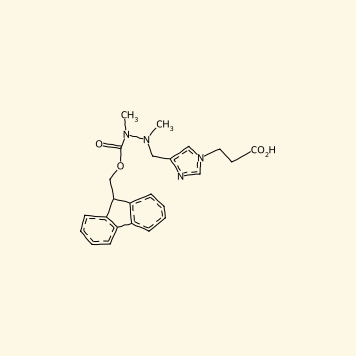 CN(Cc1cn(CCC(=O)O)cn1)N(C)C(=O)OCC1c2ccccc2-c2ccccc21